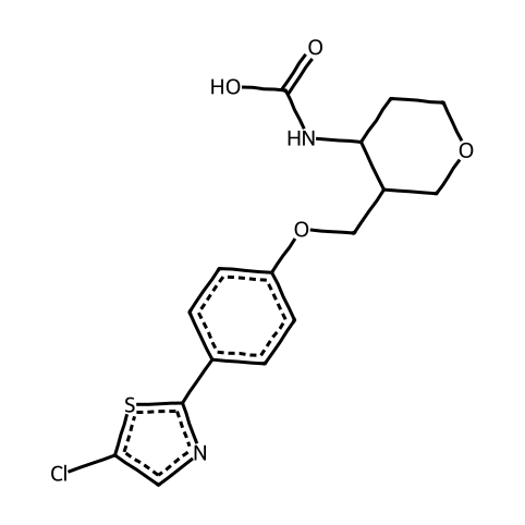 O=C(O)NC1CCOCC1COc1ccc(-c2ncc(Cl)s2)cc1